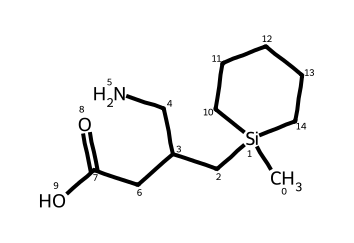 C[Si]1(CC(CN)CC(=O)O)CCCCC1